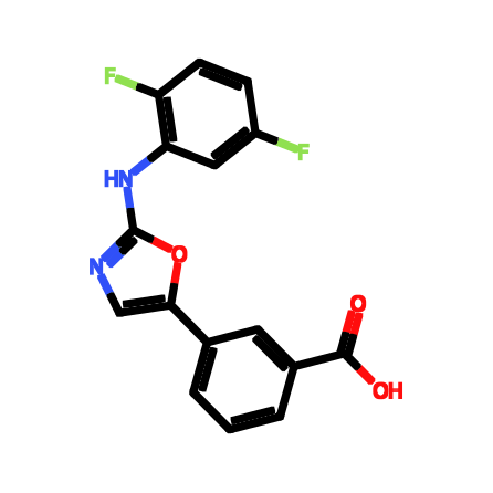 O=C(O)c1cccc(-c2cnc(Nc3cc(F)ccc3F)o2)c1